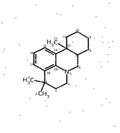 CC1(C)CCN2CC3CCCCC3(C)c3cccc1c32